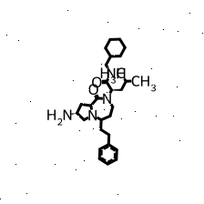 CC(C)C[C@H](C(=O)NCC1CCCCC1)N1CCC(CCc2ccccc2)N2C[C@H](N)CC2C1=O